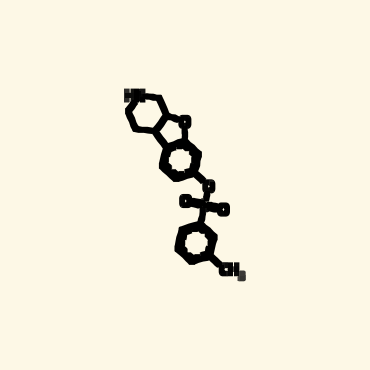 Cc1cccc(S(=O)(=O)Oc2ccc3c(c2)OC2CNCCC32)c1